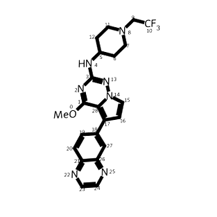 COc1nc(NC2CCN(CC(F)(F)F)CC2)nn2ccc(-c3ccc4nccnc4c3)c12